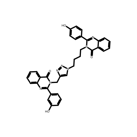 O=c1c2ccccc2nc(-c2ccc(O)cc2)n1CCCCn1cc(Cn2c(-c3cccc(O)c3)nc3ccccc3c2=O)nn1